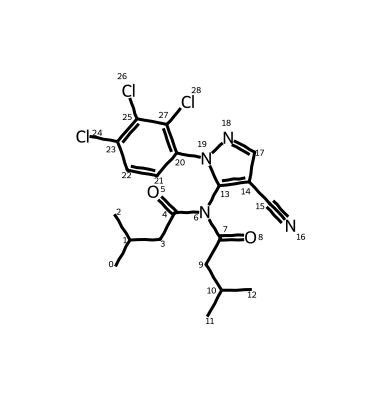 CC(C)CC(=O)N(C(=O)CC(C)C)c1c(C#N)cnn1-c1ccc(Cl)c(Cl)c1Cl